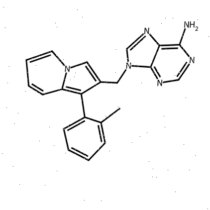 Cc1ccccc1-c1c(Cn2cnc3c(N)ncnc32)cn2ccccc12